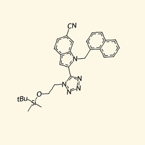 CC(C)(C)[Si](C)(C)OCCn1nnnc1-c1cc2ccc(C#N)cc2n1Cc1cccc2ccccc12